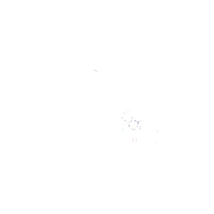 CCCCCCCC/C=C\CCCCCCCCOC(=O)Nc1nc(=O)n([C@@H]2O[C@@H](C)[C@H](O)[C@H]2O)cc1F